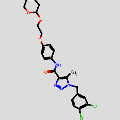 Cc1c(C(=O)Nc2ccc(OCCOC3CCCCO3)cc2)nnn1Cc1ccc(Cl)c(Cl)c1